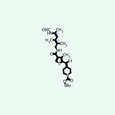 CCC(=C1CCN(C(=O)OC(C)(C)C)CC1)c1scc(C(=O)NC/C(C)=C(C)/C=C(/C)NC=O)c1C